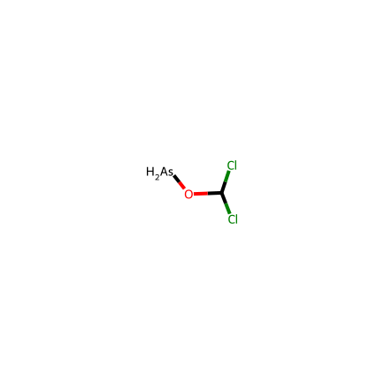 ClC(Cl)O[AsH2]